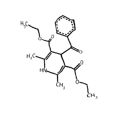 CCOC(=O)C1=C(C)NC(C)=C(C(=O)OCC)C1C(=O)c1ccccc1